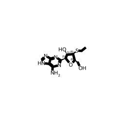 CCS[C@@H]1[C@@H](O)[C@H](c2nc(N)c3[nH]cnc3n2)O[C@@H]1CO